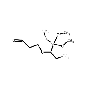 CCC(OCCC=O)[Si](OC)(OC)OC